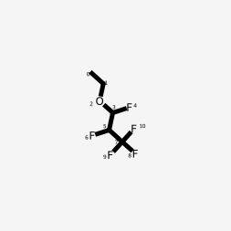 CCOC(F)C(F)C(F)(F)F